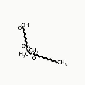 CCCCCCCCCCCC(=O)OCC(C)(C)COC(=O)CCCCCCCC(=O)O